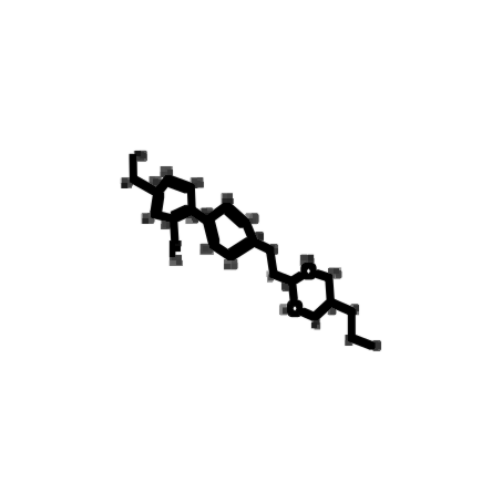 CCCC1COC(CCc2ccc(-c3ccc(CC)cc3F)cc2)OC1